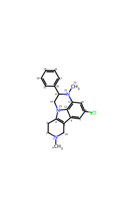 CN1CCc2c(c3cc(Cl)cc4c3n2CC(c2ccccc2)N4C)C1